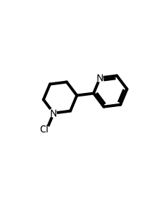 ClN1CCCC(c2ccccn2)C1